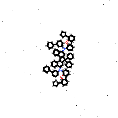 c1ccc(-c2cccc(N(c3cc4c(c5ccccc35)-c3c(cc(N(c5cccc(-c6ccccc6)c5)c5cccc6c5oc5c(C7CCCC7)cccc56)c5ccccc35)C4(c3ccccc3)c3ccccc3)c3cccc4c3oc3c(C5CCCC5)cccc34)c2)cc1